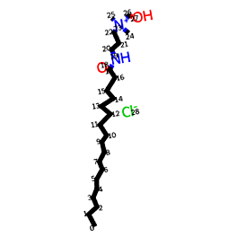 CCCCCCCCCCCCCCCCCC(=O)NCCC[N+](C)(C)CO.[Cl-]